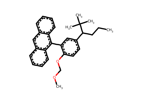 CCCC(c1ccc(OCOC)c(-c2c3ccccc3cc3ccccc23)c1)C(C)(C)C